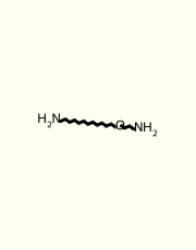 NCCCCCCCCCCCCCOCCCN